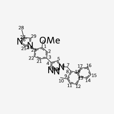 COc1cc(-c2cn(Cc3c(C)ccc4ccccc34)nn2)ccc1-n1cnc(C)c1